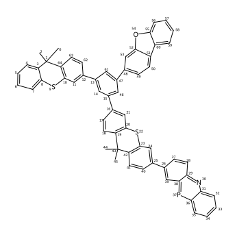 CC1(C)c2ccccc2Sc2cc(-c3cc(-c4ccc5c(c4)Sc4cc(-c6ccc7nc8ccccc8pc7c6)ccc4C5(C)C)cc(-c4ccc5c(c4)oc4ccccc45)c3)ccc21